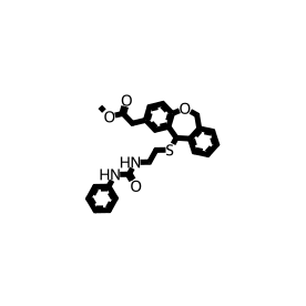 COC(=O)Cc1ccc2c(c1)C(SCCNC(=O)Nc1ccccc1)c1ccccc1CO2